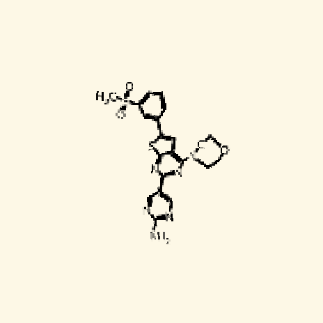 CS(=O)(=O)c1cccc(-c2cc3c(N4CCOCC4)nc(-c4cnc(N)nc4)nc3s2)c1